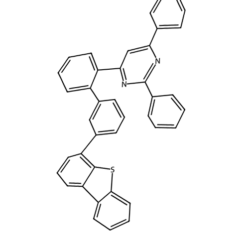 c1ccc(-c2cc(-c3ccccc3-c3cccc(-c4cccc5c4sc4ccccc45)c3)nc(-c3ccccc3)n2)cc1